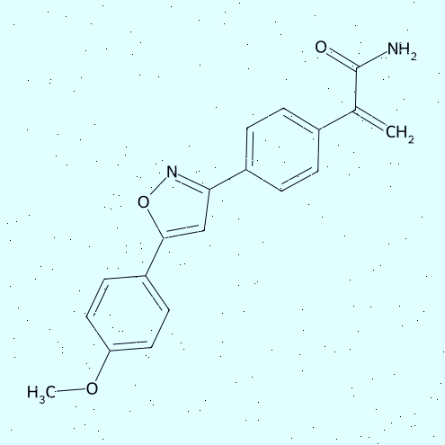 C=C(C(N)=O)c1ccc(-c2cc(-c3ccc(OC)cc3)on2)cc1